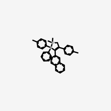 Cc1ccc(C2=C(c3ccc4ccccc4c3)[B-](c3ccccc3)(c3ccc(C)cc3)[N+](C)(C)C2)cc1